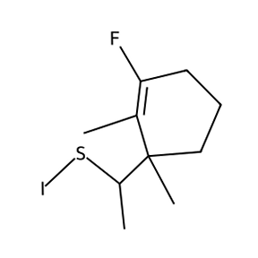 CC1=C(F)CCCC1(C)C(C)SI